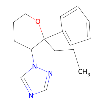 CCCC1(c2ccccc2)OCCCC1n1cncn1